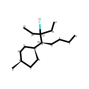 CCCC[C@@H]([C@H]1CC[C@@H](C)CC1)C(F)(CC)CC